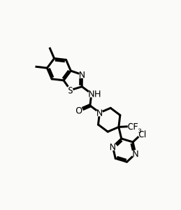 Cc1cc2nc(NC(=O)N3CCC(c4nccnc4Cl)(C(F)(F)F)CC3)sc2cc1C